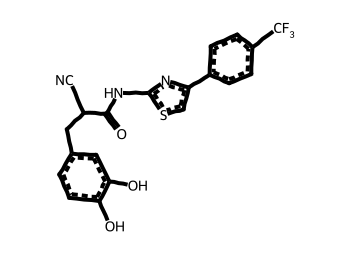 N#CC(Cc1ccc(O)c(O)c1)C(=O)Nc1nc(-c2ccc(C(F)(F)F)cc2)cs1